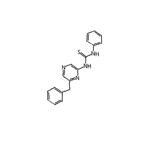 S=C(Nc1ccccc1)Nc1cncc(Cc2ccccc2)n1